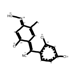 CC1=CC(=C(C#N)c2ccc(Cl)cc2Cl)C(Cl)=CC1=NO